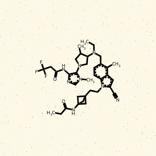 CCC(=O)NC12CC(CCn3c(C#N)cc4c(C)c(CN(CC)C5CN(c6c(NC(=O)CC(F)(F)F)ncn6C)CC5C)ccc43)(C1)C2